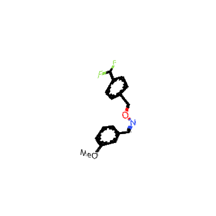 COc1cccc(/[C]=N\OCc2ccc(C(F)F)cc2)c1